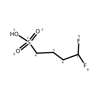 O=S(=O)(O)CCCC(F)F